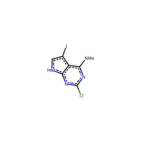 CNc1nc(Cl)nc2[nH]cc(I)c12